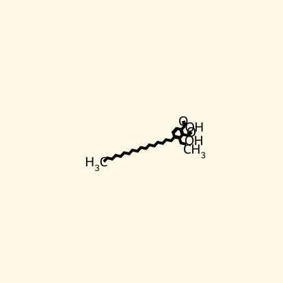 CCCCCCCCCCCCCCCCCc1ccc(C(=O)O)c(C(=O)O)c1CCC